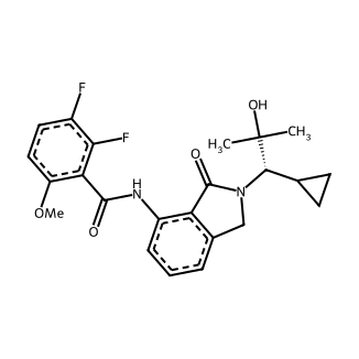 COc1ccc(F)c(F)c1C(=O)Nc1cccc2c1C(=O)N([C@@H](C1CC1)C(C)(C)O)C2